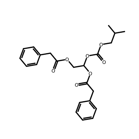 CC(C)COC(=O)OC(COC(=O)Cc1ccccc1)OC(=O)Cc1ccccc1